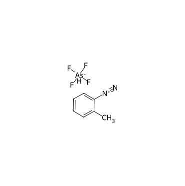 Cc1ccccc1[N+]#N.F[AsH-](F)(F)F